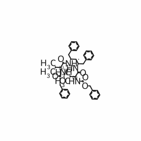 CC(C)[C@H](NC(=O)OCc1ccccc1)C(=O)NC([CH]C(Cc1ccccc1)NC(=O)[C@@H](NC(=O)OCc1ccccc1)C(C)C)Cc1ccccc1